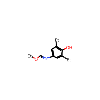 CCOC=Nc1cc(CC)c(O)c(CC)c1